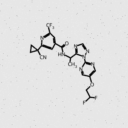 CC(NC(=O)c1cc(C(F)(F)F)nc(C2(C#N)CC2)c1)c1ncnn1-c1ncc(OCC(F)F)cn1